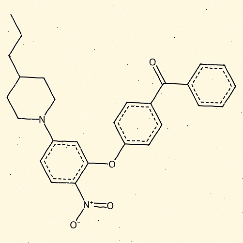 CCCC1CCN(c2ccc([N+](=O)[O-])c(Oc3ccc(C(=O)c4ccccc4)cc3)c2)CC1